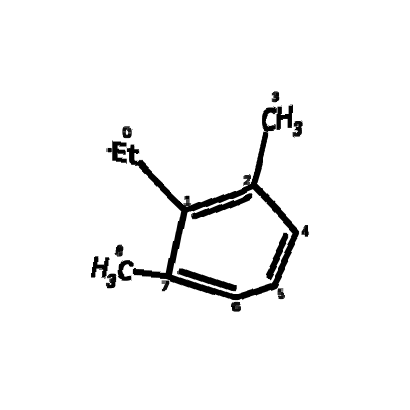 C[CH]c1c(C)cccc1C